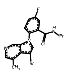 Cc1cncc2c1c(Br)cn2-c1ccc(F)cc1C(=O)NC(C)C